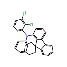 Clc1cccc(N(c2ccccc2)c2cccc3c2C2(CCCCC2)c2ccccc2-3)c1Cl